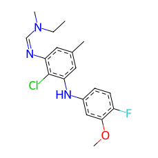 CCN(C)/C=N\c1cc(C)cc(Nc2ccc(F)c(OC)c2)c1Cl